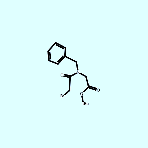 CC(C)(C)OC(=O)CN(Cc1ccccc1)C(=O)CBr